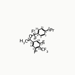 CCCc1ccc(C(F)(F)OC(C)c2cc(F)c(C(F)(F)F)c(F)c2)cc1